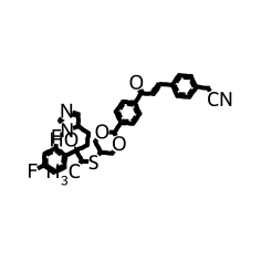 CC(SC1COC(c2ccc(C(=O)/C=C/c3ccc(CC#N)cc3)cc2)OC1)[C@](O)(CCC1C=NC=N1)c1ccc(F)cc1F